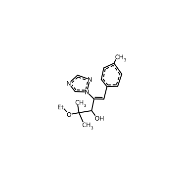 CCOC(C)(C)C(O)C(=Cc1ccc(C)cc1)n1cncn1